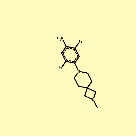 CCc1cc(N2CCC3(CC2)CN(C)C3)c(CC)cc1N